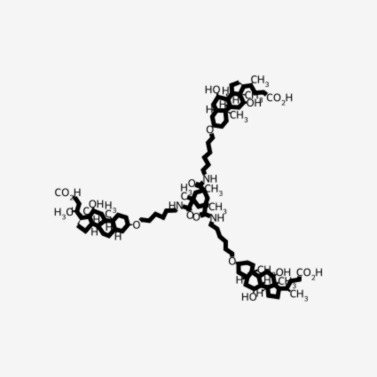 C[C@H](CCC(=O)O)C1CC[C@H]2[C@H]3C(C[C@H](O)[C@]12C)[C@@]1(C)CC[C@H](OCCCCCCNC(=O)C2(C)CC(C)(C(=O)NCCCCCCO[C@H]4CC[C@@]5(C)[C@H](CC[C@@H]6[C@@H]5C[C@H](O)[C@]5(C)[C@@H]([C@H](C)CCC(=O)O)CC[C@@H]65)C4)CC(C)(C(=O)NCCCCCCO[C@H]4CC[C@@]5(C)[C@@H](C4)C[C@@H](O)[C@@H]4[C@@H]5C[C@H](O)[C@]5(C)[C@@H]([C@H](C)CCC(=O)O)CC[C@@H]45)C2)C[C@H]1C[C@H]3O